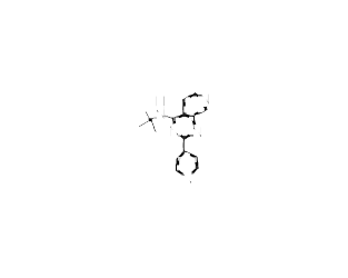 CC(C)(C)Nc1nc(-c2ccncc2)nc2cnccc12